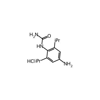 CC(C)c1cc(N)cc(C(C)C)c1NC(N)=O.Cl